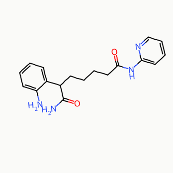 NC(=O)C(CCCCC(=O)Nc1ccccn1)c1ccccc1N